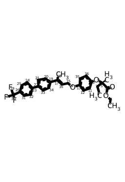 CCOC(=O)[C@](C)(CC)Oc1ccc(OC/C=C(\C)c2ccc(-c3ccc(C(F)(F)F)cc3)cc2)cc1